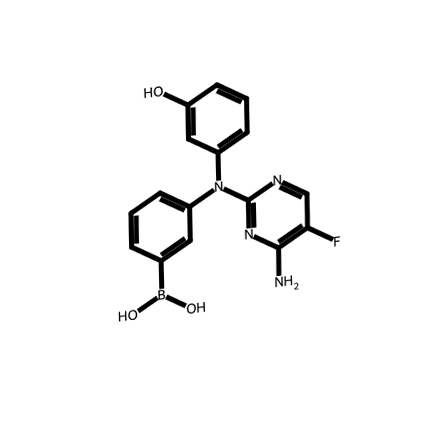 Nc1nc(N(c2cccc(O)c2)c2cccc(B(O)O)c2)ncc1F